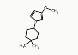 COc1ccn(C2CCC(C)(C)CC2)c1